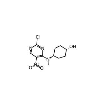 CN(c1nc(Cl)ncc1[N+](=O)[O-])[C@H]1CC[C@H](O)CC1